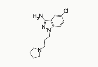 Nc1nn(CCCN2CCCC2)c2ccc(Cl)cc12